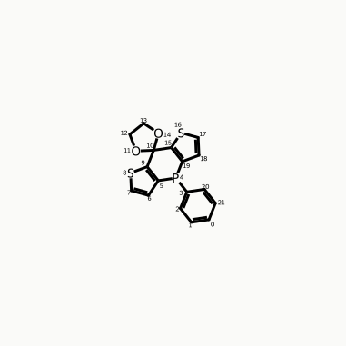 c1ccc(P2c3ccsc3C3(OCCO3)c3sccc32)cc1